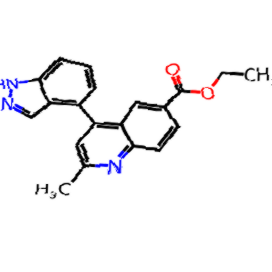 CCOC(=O)c1ccc2nc(C)cc(-c3cccc4[nH]ncc34)c2c1